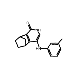 Cc1cccc(Nc2c[nH]c(=O)c3c2C2CCC3C2)c1